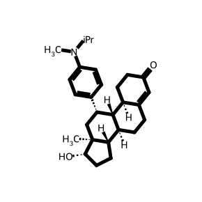 CC(C)N(C)c1ccc([C@H]2C[C@]3(C)[C@@H](O)CC[C@H]3[C@@H]3CCC4=CC(=O)CC[C@@H]4[C@H]32)cc1